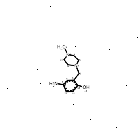 CN1CCN(Cc2cc(N)ccc2O)CC1